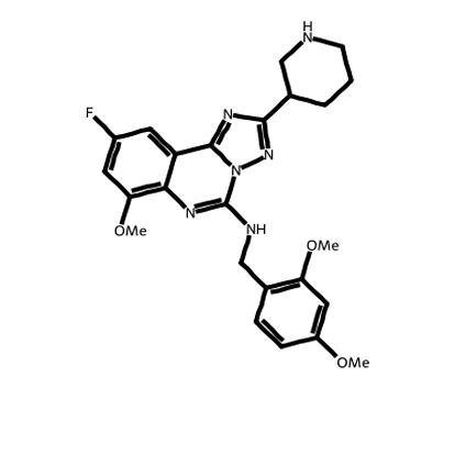 COc1ccc(CNc2nc3c(OC)cc(F)cc3c3nc(C4CCCNC4)nn23)c(OC)c1